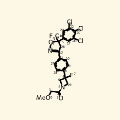 COCC(=O)N1CC(F)(c2ccc(C3=NOC(c4cc(Cl)c(Cl)c(Cl)c4)(C(F)(F)F)C3)cc2)C1